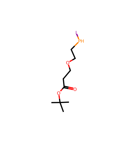 CC(C)(C)OC(=O)CCOCCPI